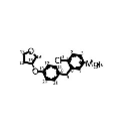 Clc1cc[c]([Mg][I])cc1Cc1ccc(O[C@H]2CCOC2)cc1